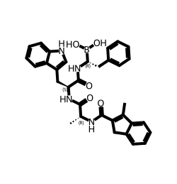 CC1=C(C(=O)N[C@H](C)C(=O)N[C@@H](Cc2c[nH]c3ccccc23)C(=O)N[C@@H](Cc2ccccc2)B(O)O)Cc2ccccc21